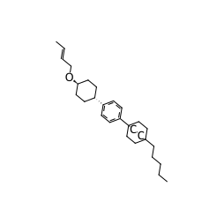 CC=CCO[C@H]1CC[C@H](c2ccc(C34CCC(CCCCC)(CC3)CC4)cc2)CC1